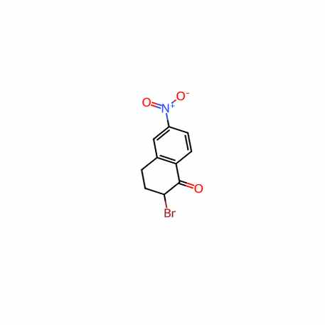 O=C1c2ccc([N+](=O)[O-])cc2CCC1Br